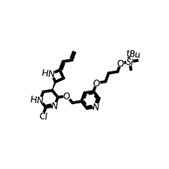 C=C/C=C1\CC([C@@H]2CNC(Cl)=NC2OCc2cncc(OCCCO[Si](C)(C)C(C)(C)C)c2)N1